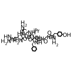 CC(C)C[C@H](NC(=O)[C@H](Cc1ccccc1)NC(=O)CNC(=O)CNC(=O)[C@@H](N)Cc1ccc(O)cc1)C(=O)N[C@@H](CC(N)=O)C(=O)N[C@@H](CCCNC(=N)N)C(N)=O